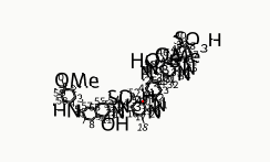 COc1ccc(Nc2ccc3c(O)c(/N=N/c4cc(C)c(/N=N\c5cc(C)c(/N=N\c6cc(C)c(/N=N\c7ccc(S(=O)(=O)O)cc7S(=O)(=O)O)cc6OC)cc5C)cc4C)c(S(=O)(=O)O)cc3c2)cc1